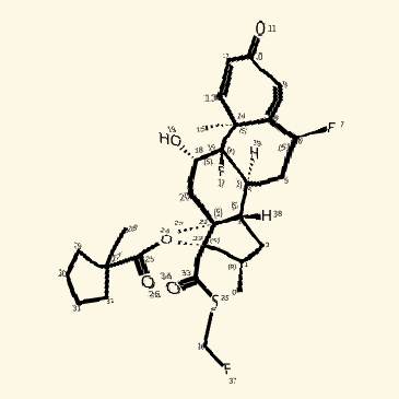 C[C@@H]1C[C@H]2[C@@H]3C[C@H](F)C4=CC(=O)C=C[C@]4(C)[C@@]3(F)[C@@H](O)C[C@]2(C)[C@]1(OC(=O)C1(C)CCCC1)C(=O)SCF